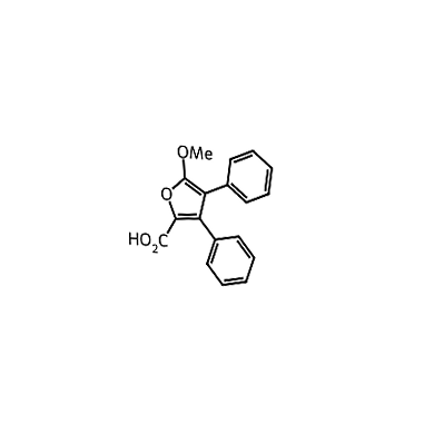 COc1oc(C(=O)O)c(-c2ccccc2)c1-c1ccccc1